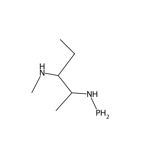 CCC(NC)C(C)NP